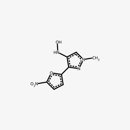 Cn1cc(NO)c(-c2ccc([N+](=O)[O-])o2)n1